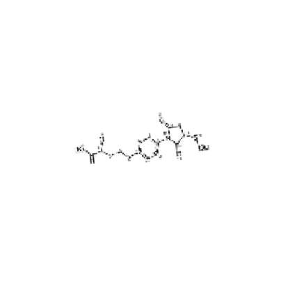 CC(C)(C)NC(=O)CCCc1ccc(N2C(=O)CC(SC(C)(C)C)C2=O)cc1